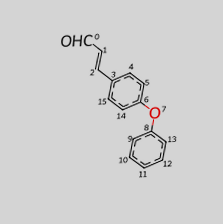 O=C/C=C/c1ccc(Oc2ccccc2)cc1